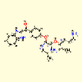 C=C/C=N\C(Oc1ccc(C(=O)c2nc3ccccc3[nH]2)cc1)=C(/N)O/C(C=C)=C/C=C\N